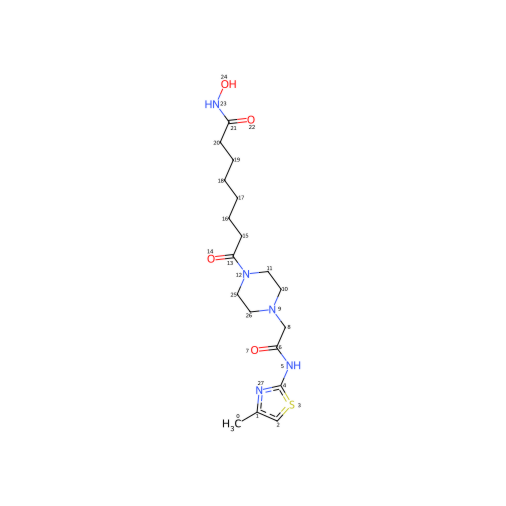 Cc1csc(NC(=O)CN2CCN(C(=O)CCCCCCC(=O)NO)CC2)n1